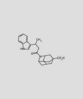 CC(CC(=O)N1C2CC3CC1CC(C(=O)O)(C3)C2)c1c[nH]c2ccccc12